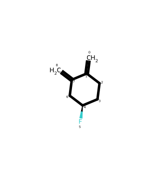 C=C1CC[C@@H](F)CC1=C